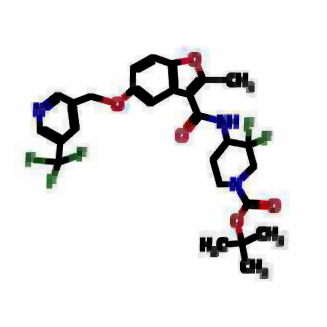 Cc1oc2ccc(OCc3cncc(C(F)(F)F)c3)cc2c1C(=O)NC1CCN(C(=O)OC(C)(C)C)CC1(F)F